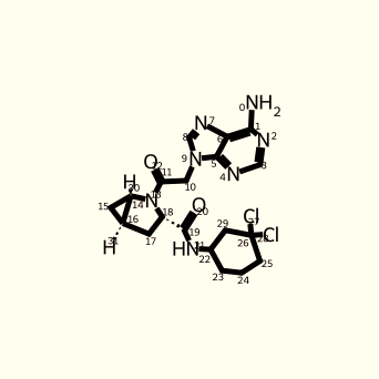 Nc1ncnc2c1ncn2CC(=O)N1[C@@H]2C[C@@H]2C[C@H]1C(=O)NC1CCCC(Cl)(Cl)C1